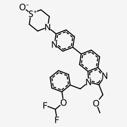 COCc1nc2ccc(-c3ccc(N4CC[S+]([O-])CC4)nc3)cc2n1Cc1ccccc1OC(F)F